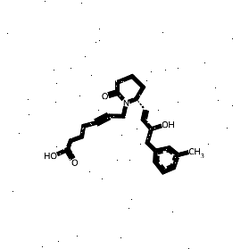 Cc1cccc(CC(O)/C=C/[C@H]2CCCC(=O)N2CC#CCCCC(=O)O)c1